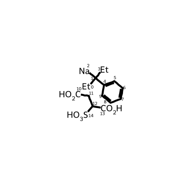 CC[C]([Na])(CC)c1ccccc1.O=C(O)CC(C(=O)O)S(=O)(=O)O